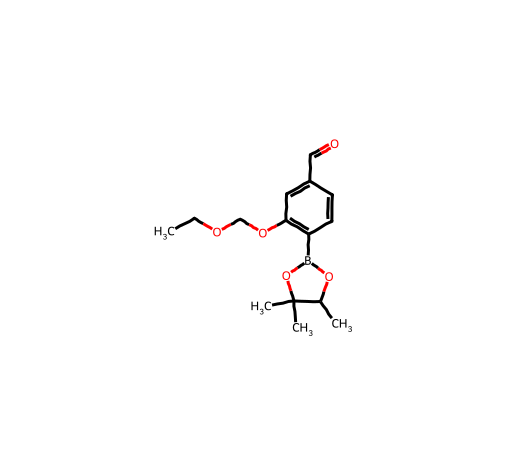 CCOCOc1cc(C=O)ccc1B1OC(C)C(C)(C)O1